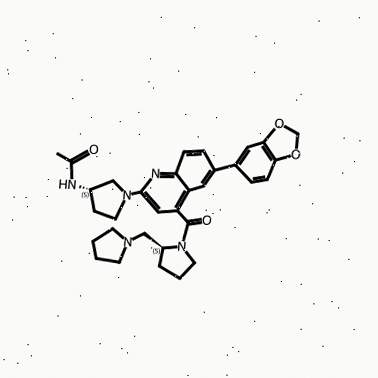 CC(=O)N[C@H]1CCN(c2cc(C(=O)N3CCC[C@H]3CN3CCCC3)c3cc(-c4ccc5c(c4)OCO5)ccc3n2)C1